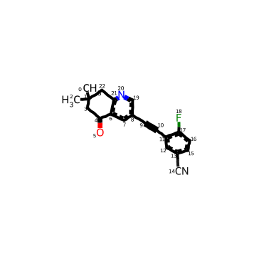 CC1(C)CC(=O)c2cc(C#Cc3cc(C#N)ccc3F)cnc2C1